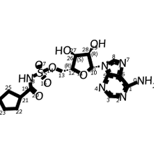 Nc1ncnc2c1ncn2[C@@H]1O[C@H](COS(=O)(=O)NC(=O)C2CCCC2)[C@@H](O)[C@H]1O